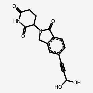 O=C1CCC(N2Cc3cc(C#CC(O)O)ccc3C2=O)C(=O)N1